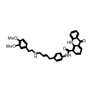 COc1ccc(CCNCC=CCc2ccc(NC(=O)c3cccc4c(=O)c5ccccc5[nH]c34)cc2)cc1OC